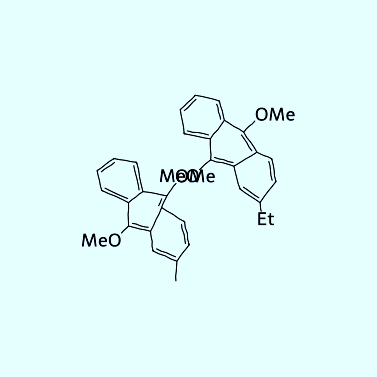 CCc1ccc2c(OC)c3ccccc3c(OC)c2c1.COc1c2ccccc2c(OC)c2cc(C)ccc12